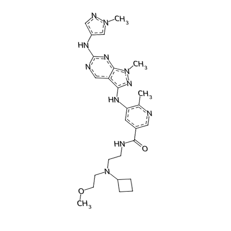 COCCN(CCNC(=O)c1cnc(C)c(Nc2nn(C)c3nc(Nc4cnn(C)c4)ncc23)c1)C1CCC1